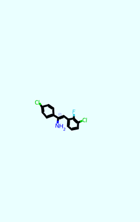 N/C(=C\c1cccc(Cl)c1F)c1ccc(Cl)cc1